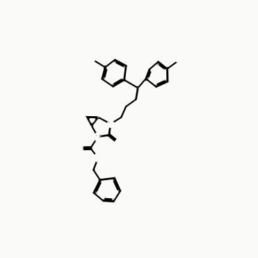 O=C(OCc1ccccc1)N1C(=O)N(CCCC(c2ccc(F)cc2)c2ccc(F)cc2)C2CC21